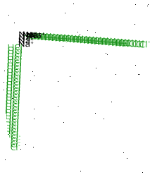 Cl.Cl.Cl.Cl.Cl.Cl.Cl.Cl.Cl.Cl.Cl.Cl.Cl.Cl.Cl.Cl.Cl.Cl.Cl.Cl.Cl.Cl.Cl.Cl.Cl.Cl.Cl.Cl.Cl.Cl.Cl.Cl.Cl.Cl.Cl.Cl.Cl.Cl.Cl.Cl.Cl.Cl.Cl.Cl.Cl.Cl.Cl.Cl.Cl.Cl.Cl.Cl.Cl.Cl.Cl.Cl.Cl.Cl.[Cl-].[Cl-].[Cl-].[Cl-].[Cl-].[Cl-].[Cl-].[Na+].[Na+].[Na+].[Na+].[Na+].[Na+].[Na+]